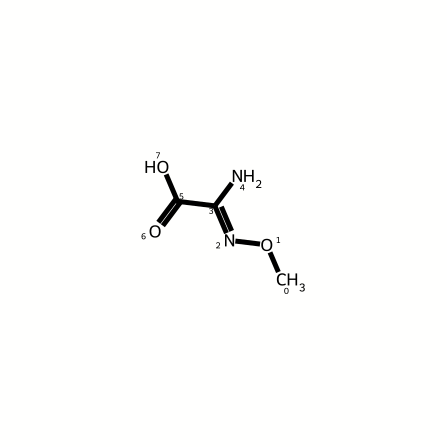 CO/N=C(\N)C(=O)O